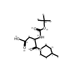 CC1CCN(C(=O)C(CC(=O)O)NC(=O)OC(C)(C)C)CC1